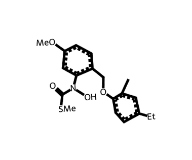 CCc1ccc(OCc2ccc(OC)cc2N(O)C(=O)SC)c(C)c1